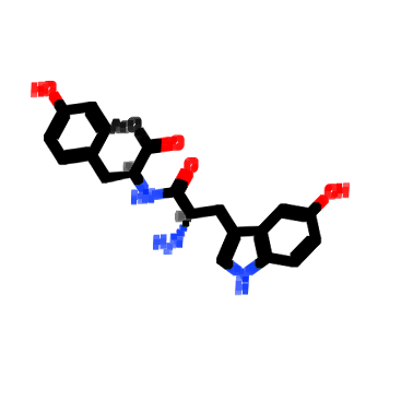 CC(=O)OC(=O)[C@H](Cc1ccc(O)cc1)NC(=O)[C@@H](N)Cc1c[nH]c2ccc(O)cc12